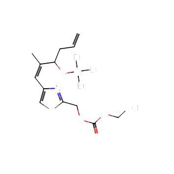 C=CCC(O[Si](CC)(CC)CC)C(C)=Cc1csc(COC(=O)OCC(Cl)(Cl)Cl)n1